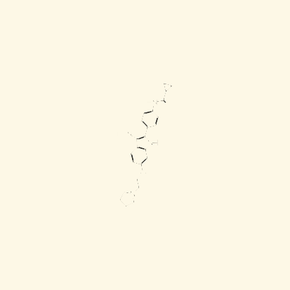 CCn1c(-c2ccc(NC(=O)C3CC3)cc2)c(N)c2ccc(OCCN3CCCC3)cc21